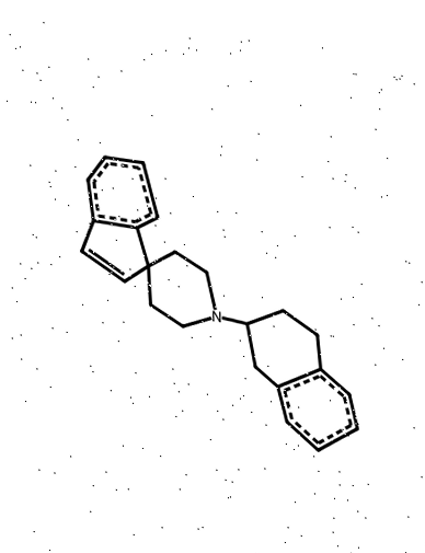 C1=CC2(CCN(C3CCc4ccccc4C3)CC2)c2ccccc21